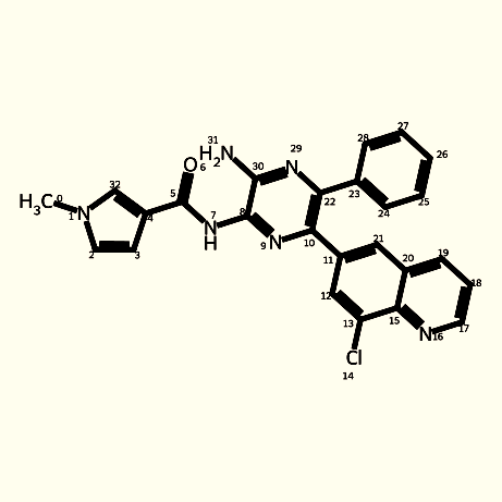 Cn1ccc(C(=O)Nc2nc(-c3cc(Cl)c4ncccc4c3)c(-c3ccccc3)nc2N)c1